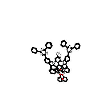 N#Cc1cccc(-c2c(-n3c4cc(-c5nc(-c6ccccc6)nc(-c6ccccc6)n5)ccc4c4ccc(-c5nc(-c6ccccc6)nc(-c6ccccc6)n5)cc43)cc(C(F)(F)F)cc2-n2c3cc(-c4nc(-c5ccccc5)nc(-c5ccccc5)n4)ccc3c3ccc(-c4nc(-c5ccccc5)nc(-c5ccccc5)n4)cc32)c1